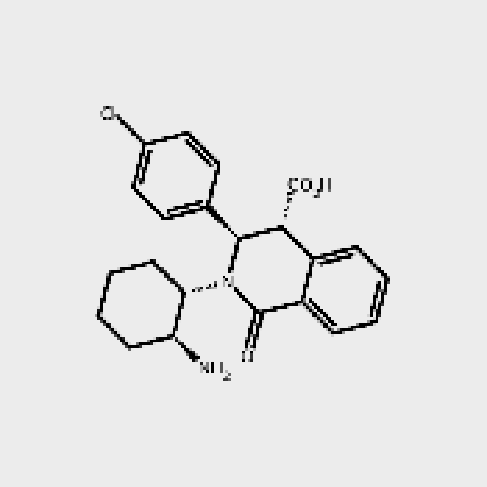 N[C@H]1CCCC[C@@H]1N1C(=O)c2ccccc2[C@@H](C(=O)O)[C@@H]1c1ccc(Cl)cc1